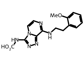 COc1ccccc1CCNc1nccn2c(NC(=O)O)nnc12